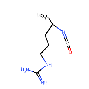 N=C(N)NCCCC(N=C=O)C(=O)O